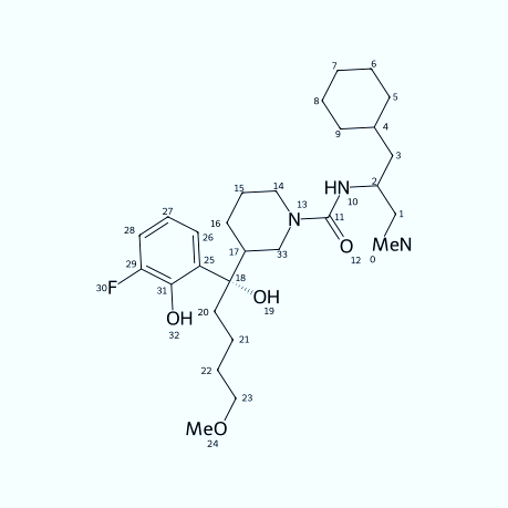 CNCC(CC1CCCCC1)NC(=O)N1CCCC([C@@](O)(CCCCOC)c2cccc(F)c2O)C1